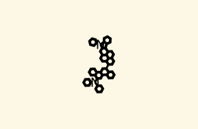 c1ccc(N(c2ccccc2)c2cc3c4ccccc4c(-c4ccc5ccc6c7c(ccc4c57)cc4c6c5ccccc5n4-c4ccccc4)cc3c3ccccc23)cc1